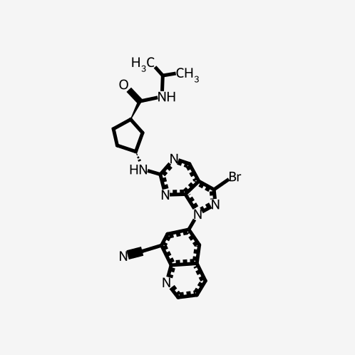 CC(C)NC(=O)[C@@H]1CC[C@@H](Nc2ncc3c(Br)nn(-c4cc(C#N)c5ncccc5c4)c3n2)C1